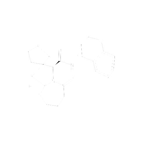 O=C(N[C@@H]1CCOc2ccccc21)[C@H]1N2C(=O)CCCS[C@H]2CC12CCCC2